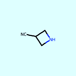 N#C[C]1CNC1